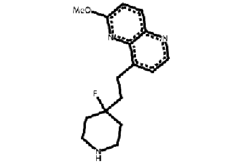 COc1ccc2nccc(CCC3(F)CCNCC3)c2n1